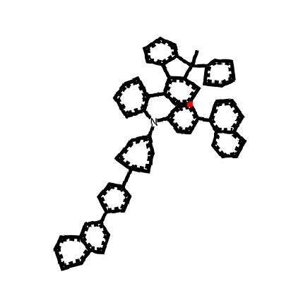 CC1(c2ccccc2)c2ccccc2-c2c(-c3ccccc3N(c3ccc(-c4ccc(-c5ccc6ccccc6c5)cc4)cc3)c3ccc(-c4cccc5ccccc45)cc3)cccc21